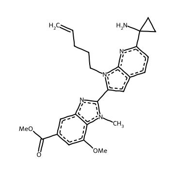 C=CCCCn1c(-c2nc3cc(C(=O)OC)cc(OC)c3n2C)cc2ccc(C3(N)CC3)nc21